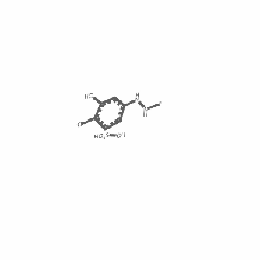 O=S(=O)(O)O.Oc1cc(NNF)ccc1Cl